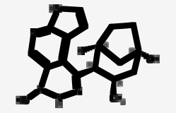 C[C@@H]1C[C@]2(O)CC[C@@H](C2)[C@@H]1C1=NNB(O)c2cnc3[nH]ccc3c21